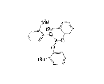 CC(C)(C)c1ccccc1OB(Oc1ccccc1C(C)(C)C)Oc1ccccc1C(C)(C)C